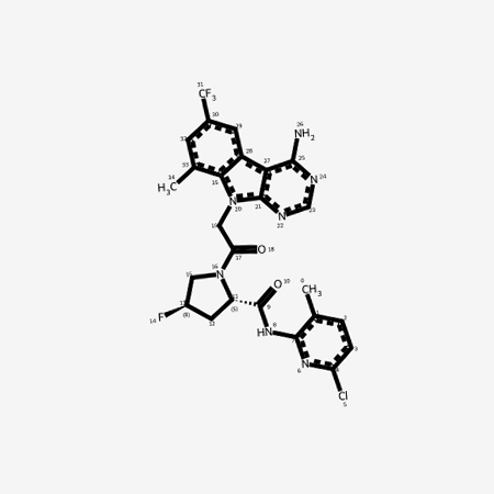 Cc1ccc(Cl)nc1NC(=O)[C@@H]1C[C@@H](F)CN1C(=O)Cn1c2ncnc(N)c2c2cc(C(F)(F)F)cc(C)c21